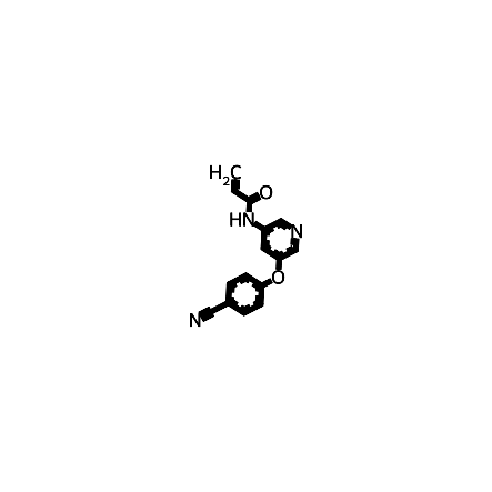 C=CC(=O)Nc1cncc(Oc2ccc(C#N)cc2)c1